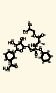 CCC(CC)COC(=O)[C@H](C)NP(=O)(OC[C@H]1O[C@@H]([n+]2cccc(C(N)=O)c2)[C@@H](O)C1O)Oc1ccccc1